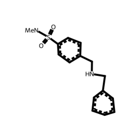 CNS(=O)(=O)c1ccc(CNCc2ccccc2)cc1